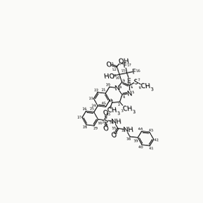 CCC(C)c1nc(SC)c(C(O)(C(=O)O)C(F)(F)F)n1Cc1ccc(-c2ccccc2S(=O)(=O)NC(=O)NCc2ccccc2)cc1